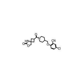 N#Cc1cc(Cl)ccc1OCC1CCN(C(=O)C2CC3(COC(=O)N3)C2)CC1